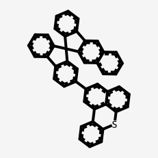 c1ccc2c(c1)Sc1cccc3cc(-c4ccc5c(c4)C4(c6ccccc6-5)c5ccccc5-c5cc6ccccc6cc54)cc-2c13